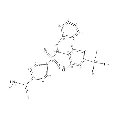 CNC(=O)c1ccc(S(=O)(=O)N(Cc2ccccc2)c2ncc(C(F)(F)F)cc2Cl)cc1